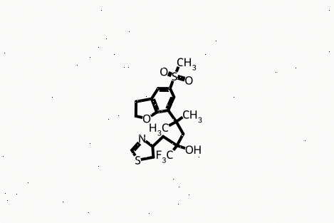 CC(C)(CC(O)(CC1CSC=N1)C(F)(F)F)c1cc(S(C)(=O)=O)cc2c1OCC2